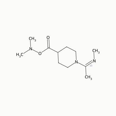 C/N=C(/C)N1CCC(C(=O)ON(C)C)CC1